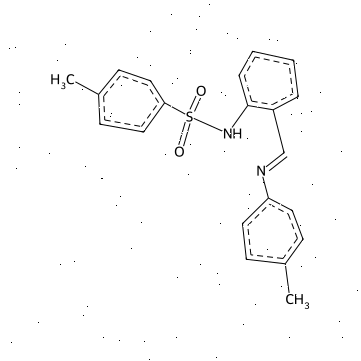 Cc1ccc(N=Cc2ccccc2NS(=O)(=O)c2ccc(C)cc2)cc1